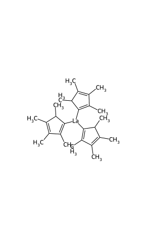 CC1=C(C)C(C)[C]([La]([C]2=C(C)C(C)=C(C)C2C)[C]2=C(C)C(C)=C(C)C2C)=C1C